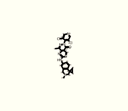 Cc1nn(-c2c(Cl)cncc2Cl)c(=O)c2cnc(Nc3ccc4c(c3)CN(C)CC43CC3)nc12